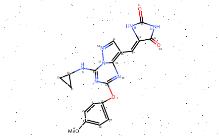 COc1ccc(Oc2nc(NC3CC3)n3ncc(/C=C4\NC(=O)NC4=O)c3n2)cc1